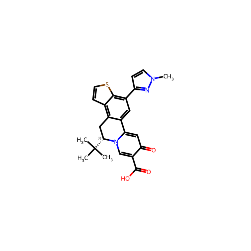 Cn1ccc(-c2cc3c(c4ccsc24)C[C@@H](C(C)(C)C)n2cc(C(=O)O)c(=O)cc2-3)n1